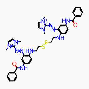 Cn1cc[n+](C)c1/N=N/c1cc(NC(=O)c2ccccc2)ccc1NCCSSCCNc1ccc(NC(=O)c2ccccc2)cc1/N=N/c1n(C)cc[n+]1C